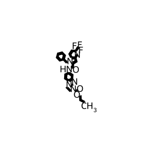 CCCCOC(=O)N1CCn2c1nc1cc(NC(=O)c3cc4nc(C(F)(F)F)ccc4n3Cc3ccccc3)ccc12